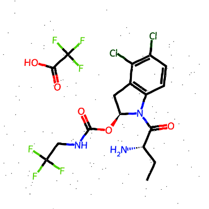 CC[C@H](N)C(=O)N1c2ccc(Cl)c(Cl)c2C[C@@H]1OC(=O)NCC(F)(F)F.O=C(O)C(F)(F)F